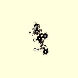 Cc1ccccc1C(=O)N(C=O)CCn1cc2c(Cl)cc(C(C)NC(=O)c3c(N)nn4cccnc34)c(-c3ccccc3)c2n1